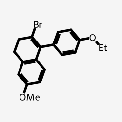 [CH2]COc1ccc(C2=C(Br)CCc3cc(OC)ccc32)cc1